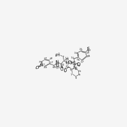 CC(C)CC(NC(=O)[C@@H]1CCCCN1S(=O)(=O)Cc1ccc(F)cc1)C(=O)NCc1ccc[n+]([O-])c1